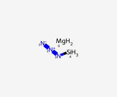 [MgH2].[N-]=[N+]=N[SiH3]